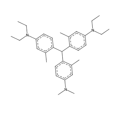 CCN(CC)c1ccc(C(c2ccc(N(C)C)cc2C)c2ccc(N(CC)CC)cc2C)c(C)c1